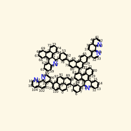 C1=CC2=C(c3cccc(-c4nc5ccccc5c5c6ccccc6c6c(-c7cc8cc(-c9ccnc%10c9ccc9cccnc9%10)ccc8c8cc(-c9cccc(-c%10nc%11ccccc%11c%11c%12ccccc%12c%12ccccc%12c%10%11)c9)ccc78)cccc6c45)c3)C=CC3=CC=C4C(c5ccnc6c5ccc5cccnc56)=CC=C1C4C32